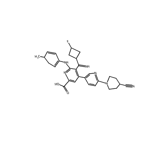 CC1C=CC(Nc2nc(C(=O)O)cc(-c3ccc(N4CCC(C#N)CC4)nc3)c2C(=N)C2CC(F)C2)=CC1